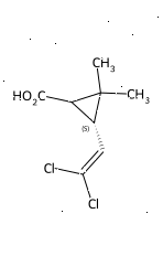 CC1(C)C(C(=O)O)[C@H]1C=C(Cl)Cl